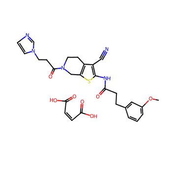 COc1cccc(CCC(=O)Nc2sc3c(c2C#N)CCN(C(=O)CCn2ccnc2)C3)c1.O=C(O)/C=C\C(=O)O